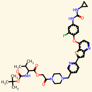 CC(C)C(NC(=O)OC(C)(C)C)C(=O)OCC(=O)N1CCN(Cc2ccc(-c3cc4nccc(Oc5ccc(NC(=O)NC6CC6)cc5F)c4s3)nc2)CC1